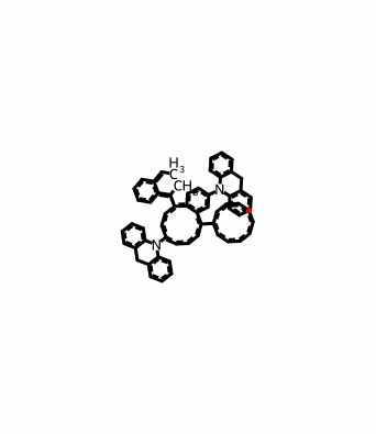 C/C=c1/cccc/c1=C(/C)c1ccc(N2c3ccccc3Cc3ccccc32)cccc(-c2ccccccccc2)c2cc(N3c4ccccc4Cc4ccccc43)ccc12